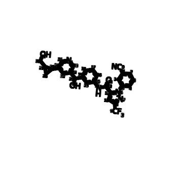 N#Cc1cccc(-n2nc(C(F)(F)F)cc2C(=O)Nc2cccc(C(O)c3cncc(C4CC4CO)c3)c2)c1